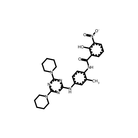 Cc1cc(Nc2nc(N3CCCCC3)nc(N3CCCCC3)n2)ccc1NC(=O)c1cccc([N+](=O)[O-])c1O